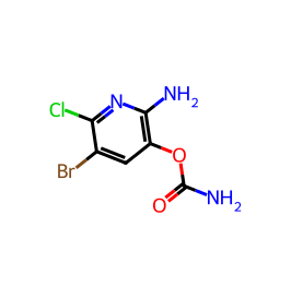 NC(=O)Oc1cc(Br)c(Cl)nc1N